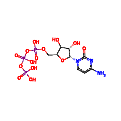 Nc1ccn([C@@H]2O[C@H](COP(=O)(O)OP(=O)(O)OP(=O)(O)O)C(O)[C@@H]2O)c(=O)n1